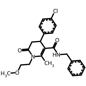 COCCN1C(=O)CC(c2ccc(Cl)cc2)C(C(=O)NCc2ccccc2)=C1C